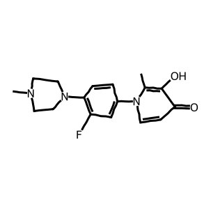 Cc1c(O)c(=O)ccn1-c1ccc(N2CCN(C)CC2)c(F)c1